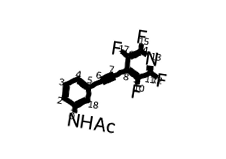 CC(=O)Nc1cccc(C#Cc2c(F)c(F)nc(F)c2F)c1